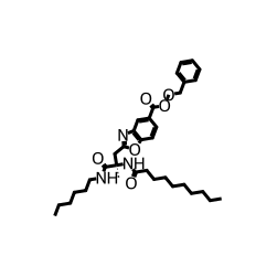 CCCCCCCCCC(=O)N[C@](C)(Cc1nc2cc(C(=O)OOCc3ccccc3)ccc2o1)C(=O)NCCCCCC